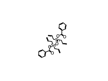 C=C[CH2][Sn]([CH2]C=C)([O]C(=O)c1ccccc1)[O][Sn]([CH2]C=C)([CH2]C=C)[O]C(=O)c1ccccc1